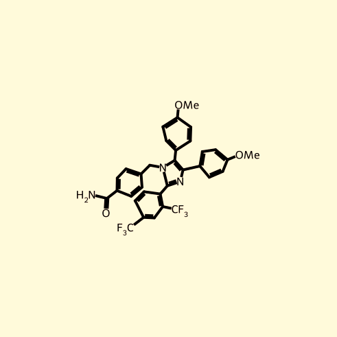 COc1ccc(-c2nc(-c3ccc(C(F)(F)F)cc3C(F)(F)F)n(Cc3ccc(C(N)=O)cc3)c2-c2ccc(OC)cc2)cc1